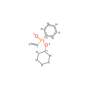 C=CP(=O)(OC1CCCCC1)c1ccccc1